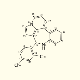 Clc1ccc(C2Nc3ccccc3-c3ncnn4ccc2c34)c(Cl)c1